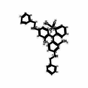 Cc1cc(NCc2ccccc2)ccc1C(c1ccc(NCc2ccccc2)cc1C)c1ccccc1S(=O)(=O)O